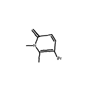 C=C1C=CC(C(C)C)=C(C)N1C